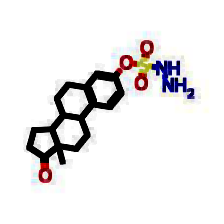 CC12CCC3c4ccc(OS(=O)(=O)NN)cc4CCC3C1CCC2=O